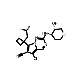 N#Cc1c(Cl)c2cnc(N[C@@H]3CCOC[C@H]3O)nn2c1C1(CC(F)F)CCC1